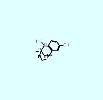 C[C@H]1c2ccc(O)cc2[C@]23CCC[C@H]1[C@@H]2CCOC3